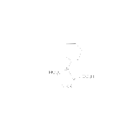 CCCCCCN(C(=O)O)N(C(=O)O)C1CCCCC1